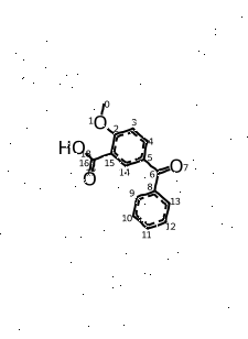 COc1ccc(C(=O)c2ccccc2)cc1C(=O)O